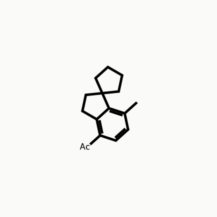 CC(=O)c1ccc(C)c2c1CCC21CCCC1